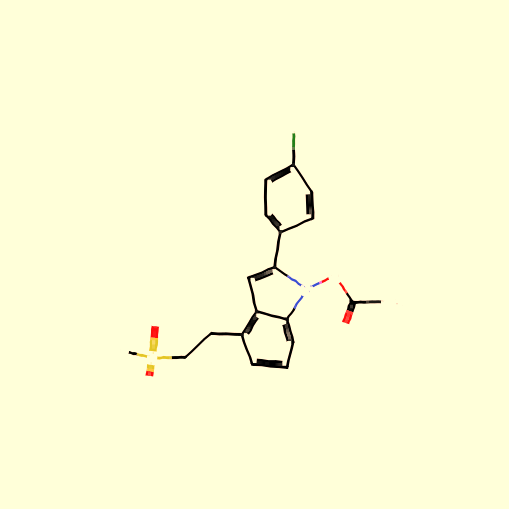 CCCCC(=O)On1c(-c2ccc(Cl)cc2)cc2c(CCS(C)(=O)=O)cccc21